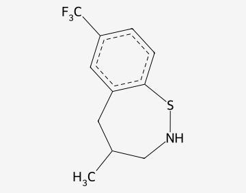 CC1CNSc2ccc(C(F)(F)F)cc2C1